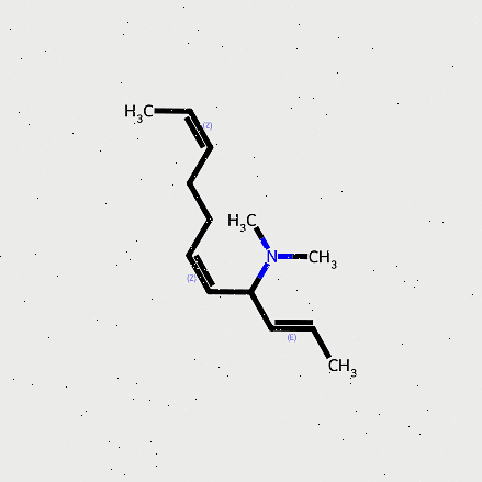 C/C=C\CC/C=C\C(/C=C/C)N(C)C